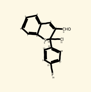 O=CC1=Cc2ccccc2SC1(Cl)c1ccc(F)cc1